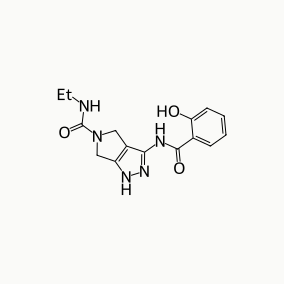 CCNC(=O)N1Cc2[nH]nc(NC(=O)c3ccccc3O)c2C1